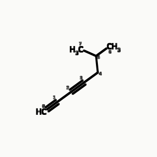 C#CC#CCC(C)C